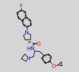 O=C(NC(Cc1ccc(OC2CC2)cc1)CN1CCC1)[C@@H]1CCN(c2ccc3cc(F)ccc3c2)C1